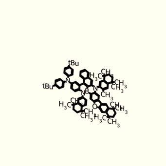 Cc1cc2c(cc1N1c3cc4c(cc3B3c5c1cc1ccccc1c5-c1cc(N(c5ccc(C(C)(C)C)cc5)c5ccc(C(C)(C)C)cc5)ccc1N3c1ccc3c(c1)C(C)(C)CCC3(C)C)oc1cc3c(cc14)C(C)(C)CCC3(C)C)C(C)(C)CCC2(C)C